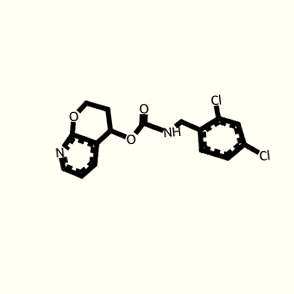 O=C(NCc1ccc(Cl)cc1Cl)OC1CCOc2ncccc21